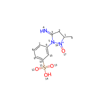 CC1CC(=N)N(c2cccc(S(=O)(=O)O)c2)[N+]1=O